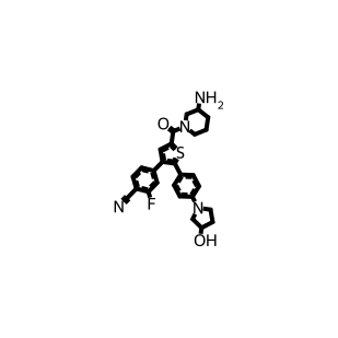 N#Cc1ccc(-c2cc(C(=O)N3CCCC(N)C3)sc2-c2ccc(N3CCC(O)C3)cc2)cc1F